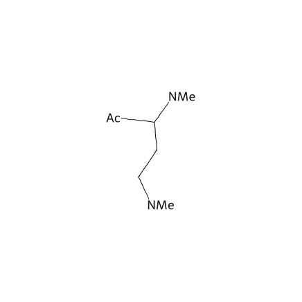 CNCCC(NC)C(C)=O